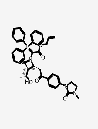 C=CCOC(=O)C(N1C(=O)[C@H]([C@@H](C)O)[C@H]1CC(=O)c1ccc(N2CCN(C)C2=O)cc1)=P(c1ccccc1)(c1ccccc1)c1ccccc1